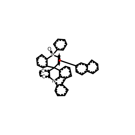 O=P1(c2ccccc2)c2ccccc2C2(c3ccccc3-n3c4ccccc4c4cccc2c43)c2cc(-c3ccc4ccccc4c3)ccc21